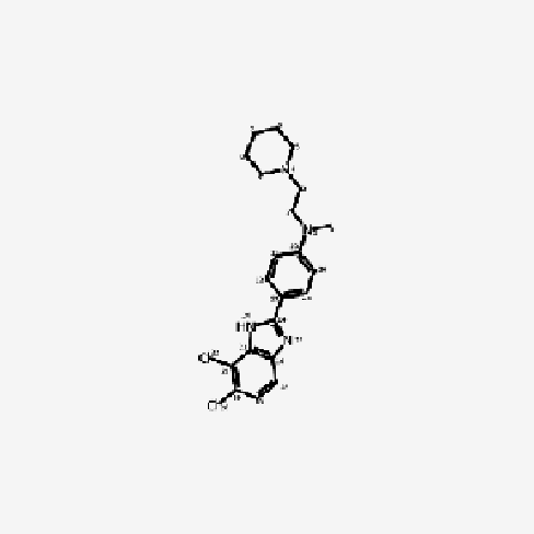 CN(CCN1CCCCC1)c1ccc(-c2nc3ccc(Cl)c(Cl)c3[nH]2)cc1